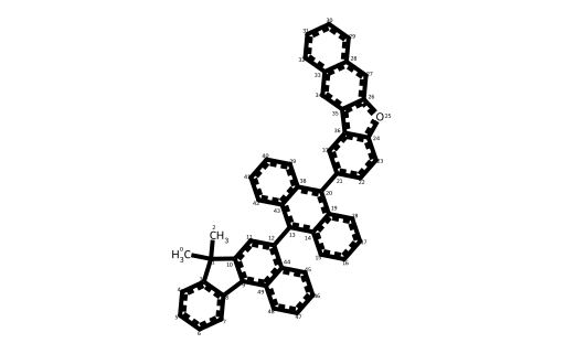 CC1(C)c2ccccc2-c2c1cc(-c1c3ccccc3c(-c3ccc4oc5cc6ccccc6cc5c4c3)c3ccccc13)c1ccccc21